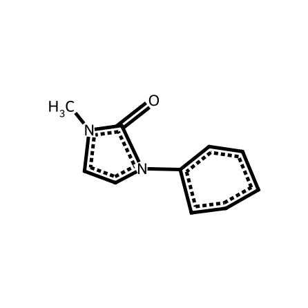 Cn1ccn(-c2ccccc2)c1=O